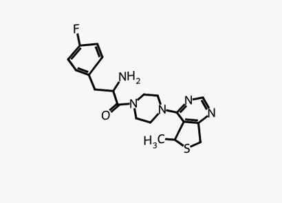 CC1SCc2ncnc(N3CCN(C(=O)C(N)Cc4ccc(F)cc4)CC3)c21